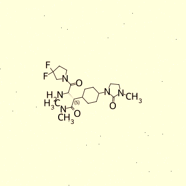 CN(C)C(=O)[C@@H](C1CCC(N2CCN(C)C2=O)CC1)C(N)C(=O)N1CCC(F)(F)C1